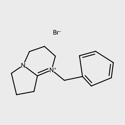 [Br-].c1ccc(C[N+]2=C3CCCN3CCC2)cc1